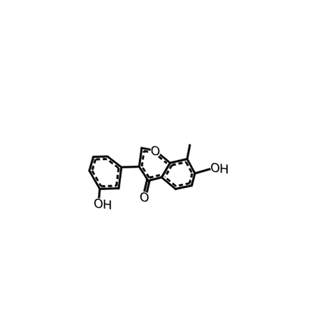 Cc1c(O)ccc2c(=O)c(-c3cccc(O)c3)coc12